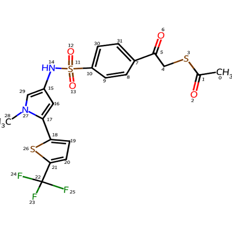 CC(=O)SCC(=O)c1ccc(S(=O)(=O)Nc2cc(-c3ccc(C(F)(F)F)s3)n(C)c2)cc1